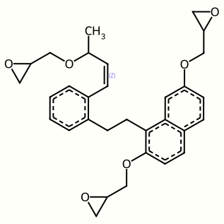 CC(/C=C\c1ccccc1CCc1c(OCC2CO2)ccc2ccc(OCC3CO3)cc12)OCC1CO1